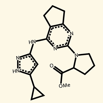 COC(=O)C1CCCN1c1nc2c(c(Nc3cc(C4CC4)[nH]n3)n1)CCC2